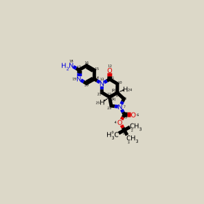 CC(C)(C)OC(=O)N1C[C@@H]2CC(=O)N(c3ccc(N)nc3)C[C@@H]2C1